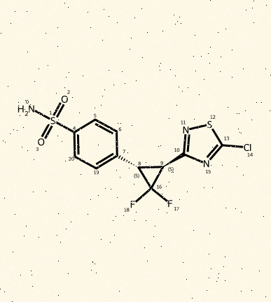 NS(=O)(=O)c1ccc([C@@H]2[C@@H](c3nsc(Cl)n3)C2(F)F)cc1